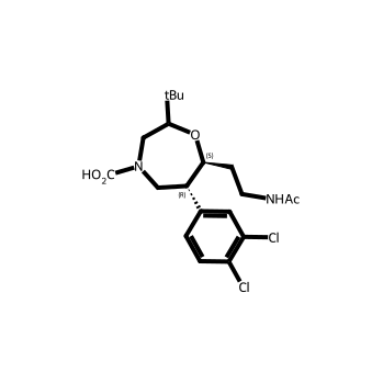 CC(=O)NCC[C@@H]1OC(C(C)(C)C)CN(C(=O)O)C[C@H]1c1ccc(Cl)c(Cl)c1